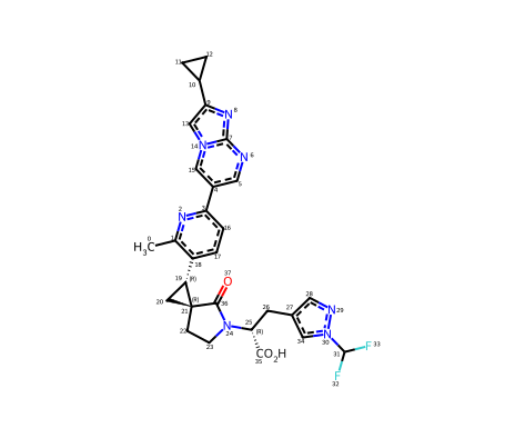 Cc1nc(-c2cnc3nc(C4CC4)cn3c2)ccc1[C@H]1C[C@@]12CCN([C@H](Cc1cnn(C(F)F)c1)C(=O)O)C2=O